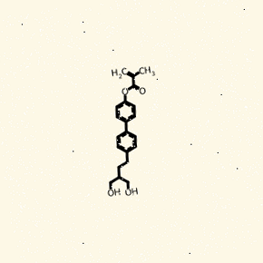 C=C(C)C(=O)Oc1ccc(-c2ccc(CCC(CO)CO)cc2)cc1